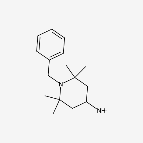 CC1(C)CC([NH])CC(C)(C)N1Cc1ccccc1